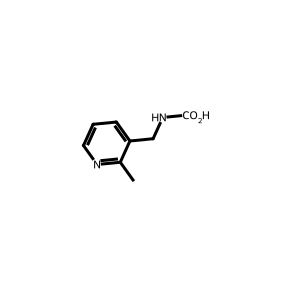 Cc1ncccc1CNC(=O)O